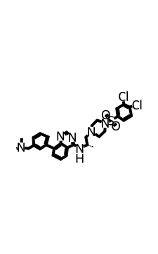 C[C@@H](CN1CCN(S(=O)(=O)c2ccc(Cl)c(Cl)c2)CC1)Nc1ncnc2c(-c3cccc(CN(C)C)c3)cccc12